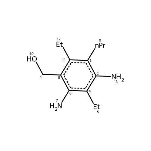 CCCc1c(N)c(CC)c(N)c(CO)c1CC